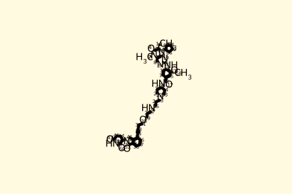 CC[C@@H]1C(=O)N(C)c2cnc(Nc3ccc(C(=O)NC4CCN(CCCNCCCOCCC#Cc5cccc6c5CN(C5CCC(=O)NC5=O)C6=O)CC4)cc3OC)nc2N1C1CCCC1